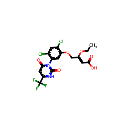 CCO/C(=C\C(=O)O)COc1cc(-n2c(=O)cc(C(F)(F)F)[nH]c2=O)c(Cl)cc1Cl